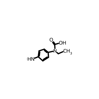 CCN(C(=O)O)c1ccc([NH])cc1